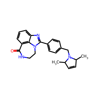 CC1C=CC(C)N1Cc1ccc(-c2nc3cccc4c3n2CCNC4=O)cc1